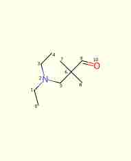 CCN(CC)CC(C)(C)C=O